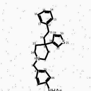 CC(=O)Nc1ccc(CN2CCC(CCc3ccccc3)(c3ccsc3)CC2)cc1